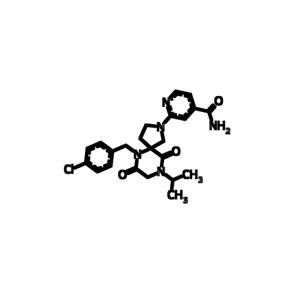 CC(C)N1CC(=O)N(Cc2ccc(Cl)cc2)C2(CCN(c3cc(C(N)=O)ccn3)C2)C1=O